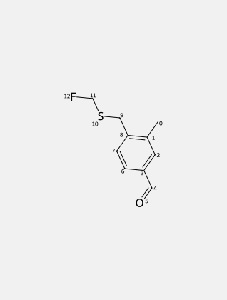 Cc1cc(C=O)ccc1CSCF